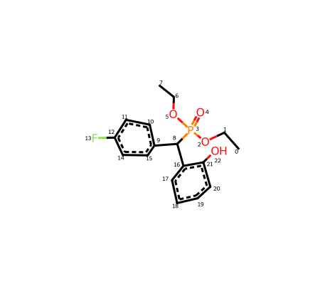 CCOP(=O)(OCC)C(c1ccc(F)cc1)c1ccccc1O